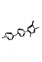 Cc1cc(C)c(-[n+]2ccc(-c3cc[n+](C)cc3)cc2)cc1C